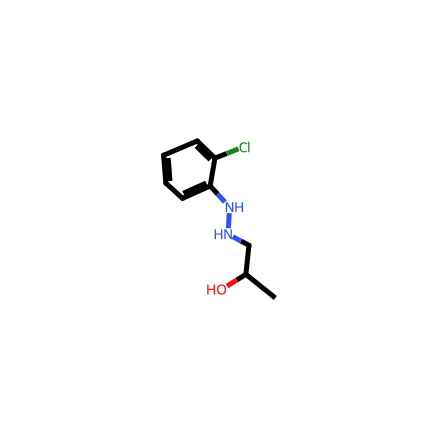 CC(O)CNNc1ccccc1Cl